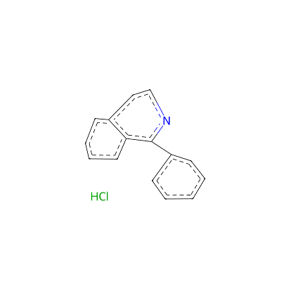 Cl.c1ccc(-c2nccc3ccccc23)cc1